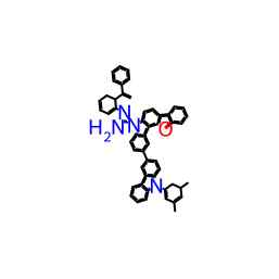 C=C(c1ccccc1)C1CC=CC=C1/N=C(\N)n1c2ccc(-c3ccc4c(c3)c3ccccc3n4C3=CC(C)=CC(C)C3)cc2c2c3oc4ccccc4c3ccc21